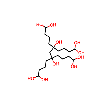 OC(O)CCCC(O)(CCCC(O)O)CC(O)(CCCC(O)O)CCCC(O)O